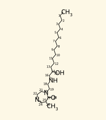 CCCCCCCCCCCCCCC(O)CNCCN1CCN=CC(C)C1=O